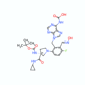 CC(C)(C)OC(=O)N[C@]1(C(=O)NC2CC2)CCN(c2ccc(F)c(/C=N/O)c2Cn2cnc3c(NC(=O)O)ncnc32)C1